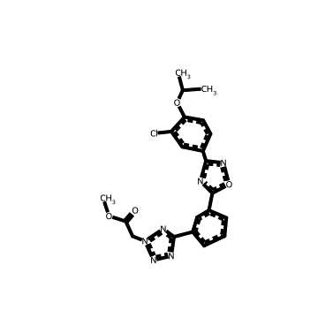 COC(=O)Cn1nnc(-c2cccc(-c3nc(-c4ccc(OC(C)C)c(Cl)c4)no3)c2)n1